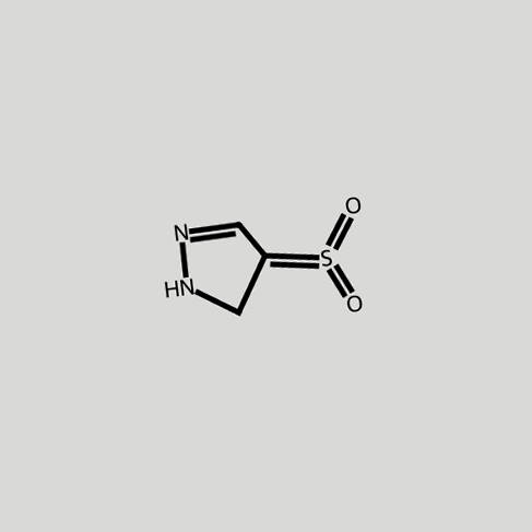 O=S(=O)=C1C=NNC1